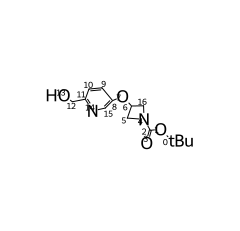 CC(C)(C)OC(=O)N1CC(Oc2ccc(CO)nc2)C1